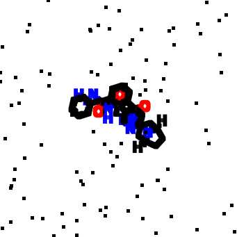 Cc1c(C(N)=O)cccc1C(=O)N[C@H]1C[C@H]2CC[C@@H](C1)N2c1ccc(C(=O)NCc2ccccc2)cn1